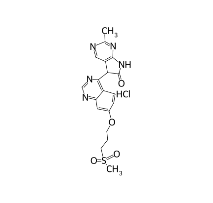 Cc1ncc2c(n1)NC(=O)C2c1ncnc2cc(OCCCS(C)(=O)=O)ccc12.Cl